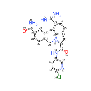 N=C(N)c1ccc2cc(C(=O)Nc3ccc(Cl)nc3)n(Cc3ccc(C(N)=O)cc3)c2c1